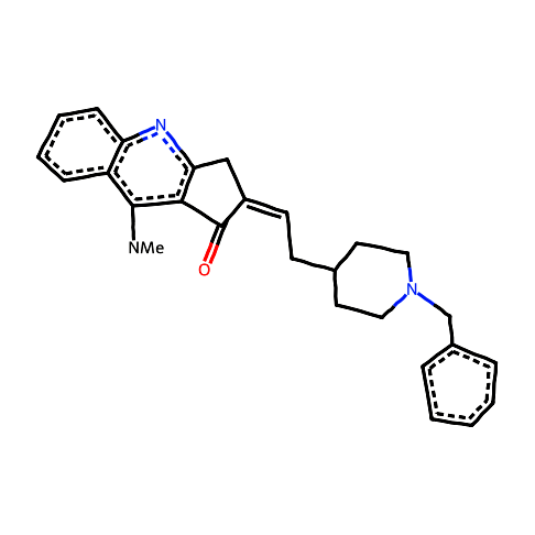 CNc1c2c(nc3ccccc13)CC(=CCC1CCN(Cc3ccccc3)CC1)C2=O